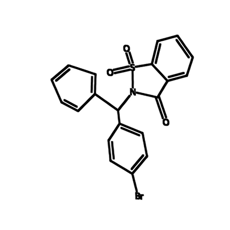 O=C1c2ccccc2S(=O)(=O)N1C(c1ccccc1)c1ccc(Br)cc1